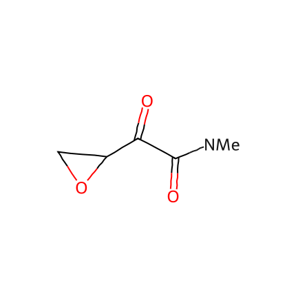 CNC(=O)C(=O)C1CO1